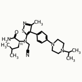 Cc1nsc(N(CC#N)[C@@H](CC(C)C)C(N)=O)c1-c1ccc(N2CCN(C(C)C)CC2)cc1